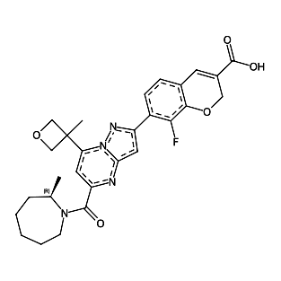 C[C@@H]1CCCCCN1C(=O)c1cc(C2(C)COC2)n2nc(-c3ccc4c(c3F)OCC(C(=O)O)=C4)cc2n1